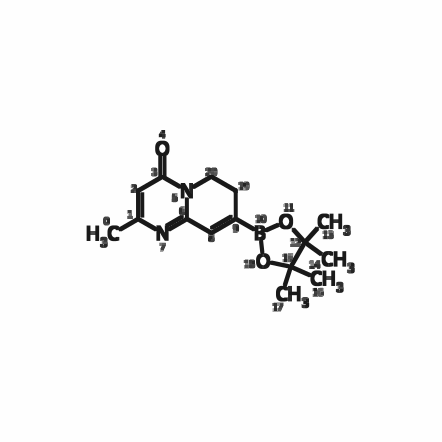 Cc1cc(=O)n2c(n1)C=C(B1OC(C)(C)C(C)(C)O1)CC2